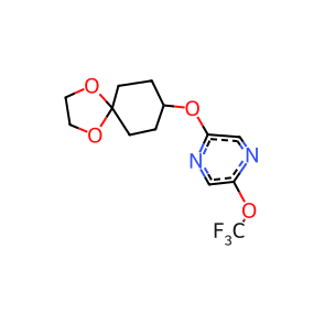 FC(F)(F)Oc1cnc(OC2CCC3(CC2)OCCO3)cn1